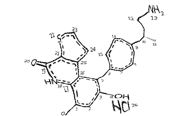 Cc1cc(O)c(-c2ccc([C@@H](C)CN)cc2)c2c1[nH]c(=O)c1sccc12.Cl